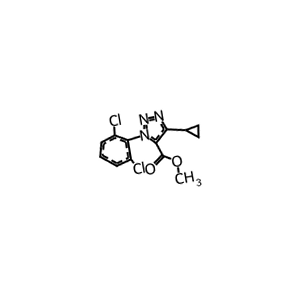 COC(=O)c1c(C2CC2)nnn1-c1c(Cl)cccc1Cl